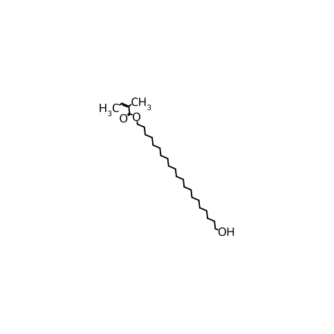 CC=C(C)C(=O)OCCCCCCCCCCCCCCCCCCCCCO